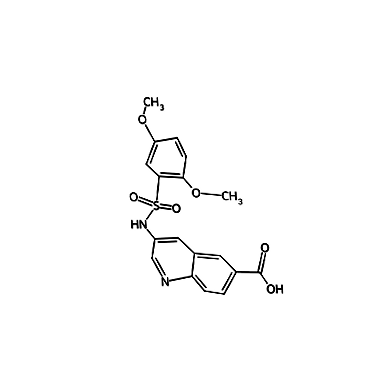 COc1ccc(OC)c(S(=O)(=O)Nc2cnc3ccc(C(=O)O)cc3c2)c1